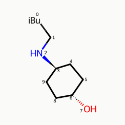 CCC(C)CN[C@H]1CC[C@H](O)CC1